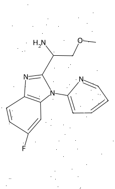 COCC(N)c1nc2ccc(F)cc2n1-c1ccccn1